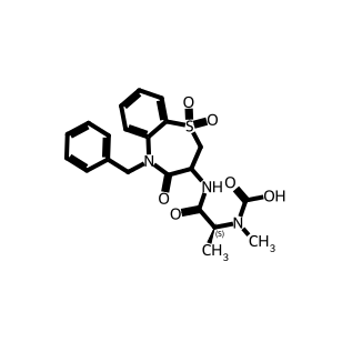 C[C@@H](C(=O)NC1CS(=O)(=O)c2ccccc2N(Cc2ccccc2)C1=O)N(C)C(=O)O